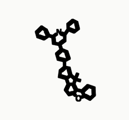 CC1(C)c2cc(-c3ccc(-c4cc(-c5ccccc5)nc(-c5ccccc5)c4)cc3)ccc2-c2ccc3oc4ccccc4c3c21